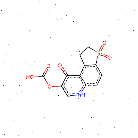 O=C(O)Oc1c[nH]c2ccc3c(c2c1=O)CCS3(=O)=O